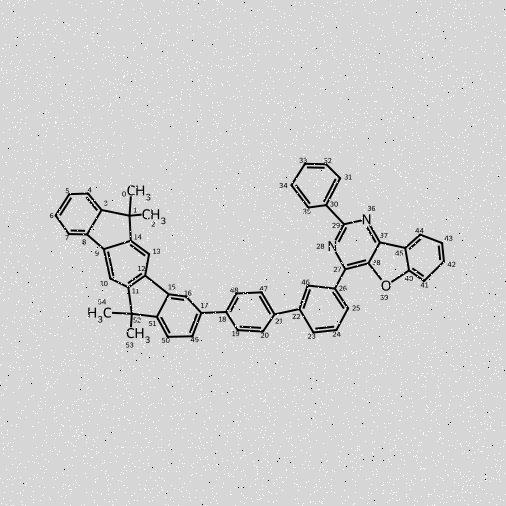 CC1(C)c2ccccc2-c2cc3c(cc21)-c1cc(-c2ccc(-c4cccc(-c5nc(-c6ccccc6)nc6c5oc5ccccc56)c4)cc2)ccc1C3(C)C